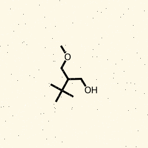 COCC(CO)C(C)(C)C